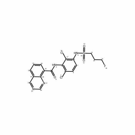 O=C(Nc1c(Cl)ccc(NS(=O)(=O)CCCF)c1Cl)c1cccc2cncnc12